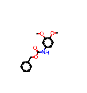 COc1ccc(NC(=O)OCc2ccccc2)cc1OC